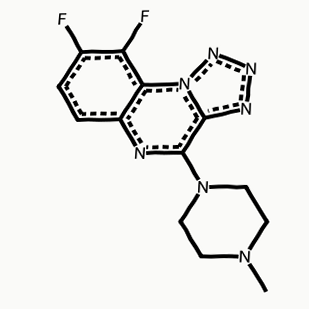 CN1CCN(c2nc3ccc(F)c(F)c3n3nnnc23)CC1